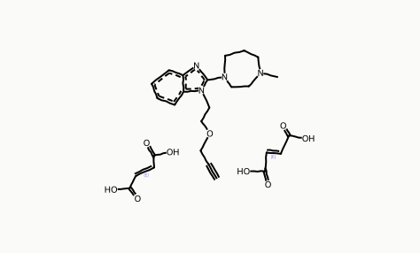 C#CCOCCn1c(N2CCCN(C)CC2)nc2ccccc21.O=C(O)/C=C/C(=O)O.O=C(O)/C=C/C(=O)O